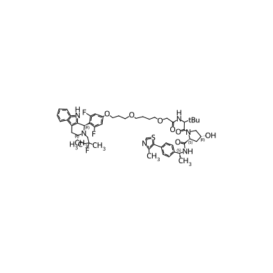 Cc1ncsc1-c1ccc([C@H](C)NC(=O)[C@@H]2C[C@@H](O)CN2C(=O)C(NC(=O)COCCCCOCCCOc2cc(F)c([C@@H]3c4[nH]c5ccccc5c4C[C@@H](C)N3CC(C)(C)F)c(F)c2)C(C)(C)C)cc1